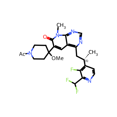 COC1(c2cc3c(C[C@H](C)c4ccnc(C(F)F)c4F)ncnc3n(C)c2=O)CCN(C(C)=O)CC1